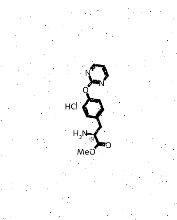 COC(=O)[C@@H](N)Cc1ccc(Oc2ncccn2)cc1.Cl